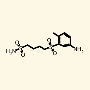 Cc1ccc(N)cc1S(=O)(=O)CCCCS(N)(=O)=O